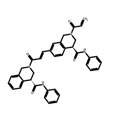 C=CC(=O)N1Cc2cc(/C=C/C(=O)N3Cc4ccccc4[C@@H](C(=O)Nc4ccccc4)C3)ccc2[C@H](C(=O)Nc2ccccc2)C1